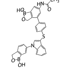 CC(=O)Nc1cc2c(c(-c3ccc(Sc4cn(-c5ccc6c(c5)B(O)OC6)c5ccccc45)cc3)c1)COB2O